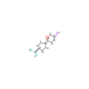 FC(F)=C1CCC(C2CCC(I)CO2)CC1